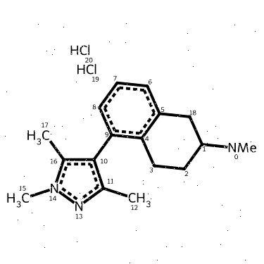 CNC1CCc2c(cccc2-c2c(C)nn(C)c2C)C1.Cl.Cl